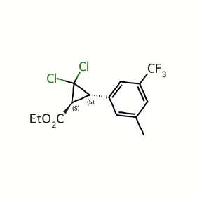 CCOC(=O)[C@@H]1[C@@H](c2cc(C)cc(C(F)(F)F)c2)C1(Cl)Cl